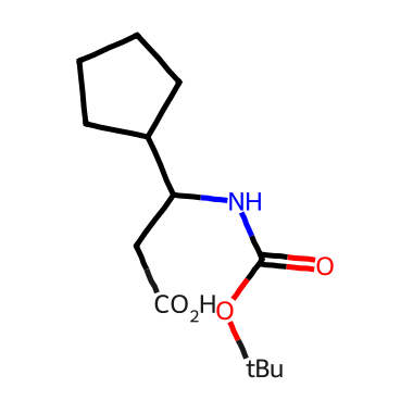 CC(C)(C)OC(=O)NC(CC(=O)O)C1CCCC1